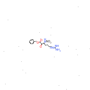 N=C(N)NCCCC[C@H](N[N+](=O)[O-])C(=O)C(=O)OCc1ccccc1